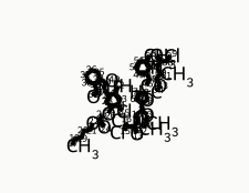 CC1(C)OC(c2ccco2)CN1C(=O)C(Cl)Cl.CCCCCOC(=O)COc1cc(N2C(=O)C3=C(CCCC3)C2=O)c(F)cc1Cl.CCc1cccc(C)c1N(C(=O)CCl)C(C)COC